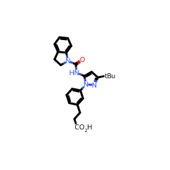 CC(C)(C)c1cc(NC(=O)N2CCc3ccccc32)n(-c2cccc(CCC(=O)O)c2)n1